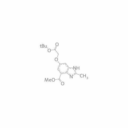 COC(=O)c1cc(OCC(=O)OC(C)(C)C)cc2[nH]c(C)nc12